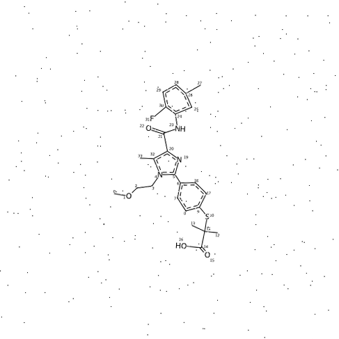 COCCn1c(-c2ccc(SC(C)(C)C(=O)O)cc2)nc(C(=O)Nc2cc(C)ccc2F)c1C